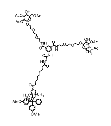 COc1ccc(C(OC[C@@]2(C)CN(C(=O)CCCCCCCCC(=O)NCC(=O)Nc3cc(C(=O)NCCOCCOCCO[C@H]4O[C@H](C)[C@@H](OC(C)=O)[C@H](OC(C)=O)[C@@H]4O)cc(C(=O)NCCOCCOCCO[C@H]4O[C@H](COC(C)=O)[C@@H](O)[C@H](OC(C)=O)[C@@H]4OC(C)=O)c3)C[C@@]2(C)CO)(c2ccccc2)c2ccc(OC)cc2)cc1